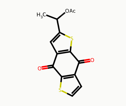 CC(=O)OC(C)c1cc2c(s1)C(=O)c1ccsc1C2=O